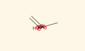 CCCCCCCCCCCCCCCCCC(=O)OC[C@H](CSC[C@H](NC(=O)CCCCCCCCCCCCCCC)C(=O)O)OC(=O)CCCCCCCCCCCCCCCCC